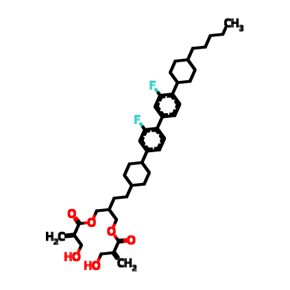 C=C(CO)C(=O)OCC(CCC1CCC(c2ccc(-c3ccc(C4CCC(CCCCC)CC4)c(F)c3)c(F)c2)CC1)COC(=O)C(=C)CO